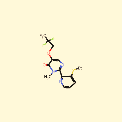 CCSc1cccnc1-c1ncc(OCC(F)(F)C(F)(F)F)c(=O)n1C